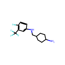 NC1CCC(CNc2ccc(F)c(C(F)(F)F)c2)CC1